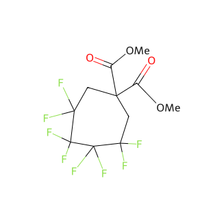 COC(=O)C1(C(=O)OC)CC(F)(F)C(F)(F)C(F)(F)C(F)(F)C1